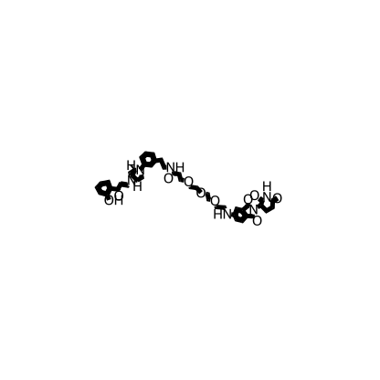 O=C(CCOCCOCCOCCNc1ccc2c(c1)C(=O)N(C1CCC(=O)NC1=O)C2=O)NCCc1cccc(N2C[C@H]3C[C@@H]2CN3/C=C/C(=O)c2ccccc2O)c1